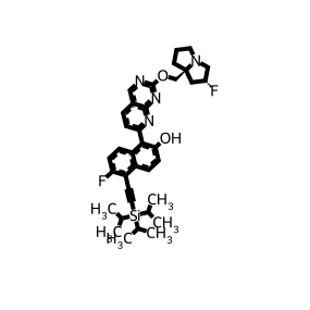 CC(C)[Si](C#Cc1c(F)ccc2c(-c3ccc4cnc(OC[C@@]56CCCN5C[C@H](F)C6)nc4n3)c(O)ccc12)(C(C)C)C(C)C